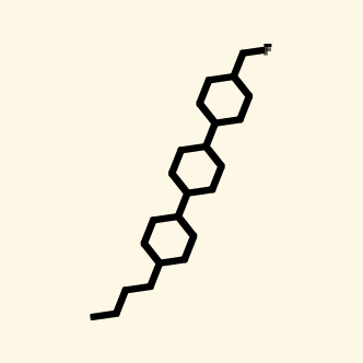 CCCCC1CCC(C2CCC(C3CCC(CF)CC3)CC2)CC1